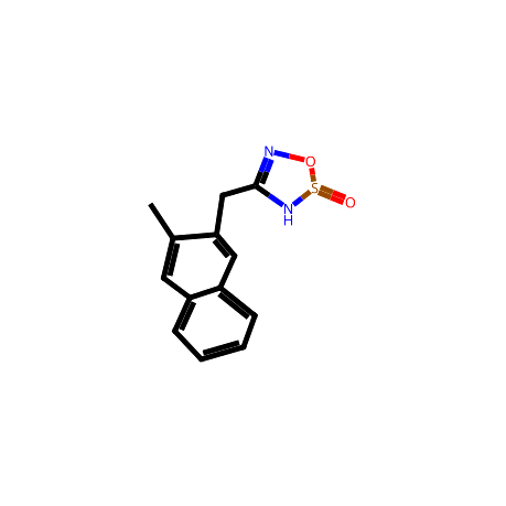 Cc1cc2ccccc2cc1CC1=NOS(=O)N1